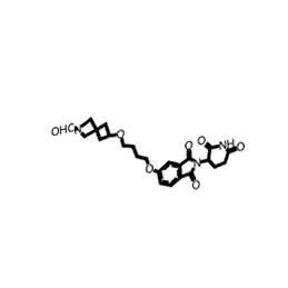 O=CN1CC2(CC(OCCCCOc3ccc4c(c3)C(=O)N(C3CCC(=O)NC3=O)C4=O)C2)C1